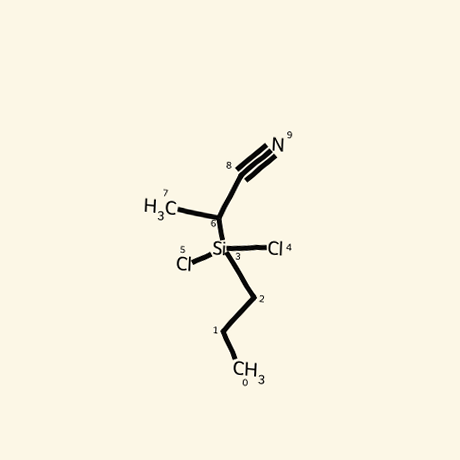 CCC[Si](Cl)(Cl)C(C)C#N